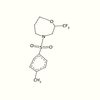 Cc1ccc(S(=O)(=O)N2CCCOC(C(F)(F)F)C2)cc1